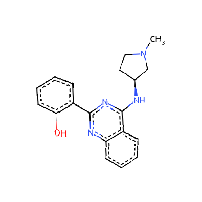 CN1CC[C@H](Nc2nc(-c3ccccc3O)nc3ccccc23)C1